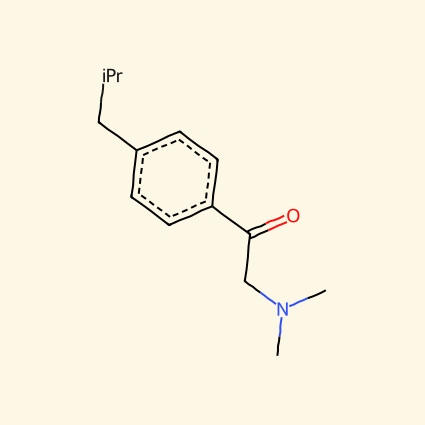 CC(C)Cc1ccc(C(=O)CN(C)C)cc1